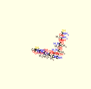 CC(C)[C@H](N)C(=O)O.CC(C)[C@H](N)C(=O)O.CC(C)[C@H](N)C(=O)O.CC(C)[C@H](N)C(=O)O.C[C@H](N)C(=O)O.C[C@H](N)C(=O)O.N[C@@H](CS)C(=O)[O-].N[C@@H](CS)C(=O)[O-].O=C(O)[C@@H]1CCCN1.O=C(O)[C@@H]1CCCN1.[Cu+2]